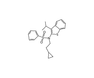 CC(C)c1c(N(CCC2CC2)S(=O)(=O)c2ccccc2)sc2ccccc12